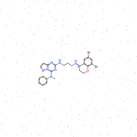 CN(c1ccccc1)c1nc(NCCCN[C@@H]2CCOc3c(Br)cc(Br)cc32)nc2ccnn12